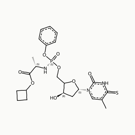 Cc1cn([C@@H]2C[C@@H](O)C(CO[P@@](=O)(N[C@@H](C)C(=O)OC3CCC3)Oc3ccccc3)O2)c(=O)[nH]c1=S